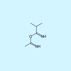 CC(=N)OC(=N)C(C)C